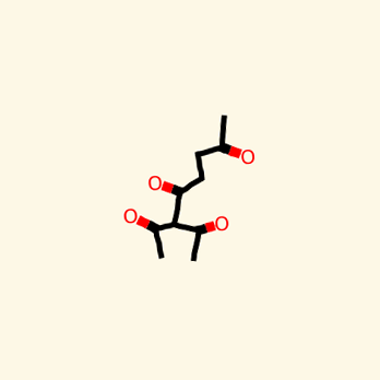 CC(=O)CCC(=O)C(C(C)=O)C(C)=O